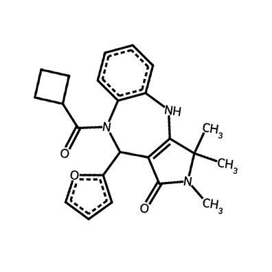 CN1C(=O)C2=C(Nc3ccccc3N(C(=O)C3CCC3)C2c2ccco2)C1(C)C